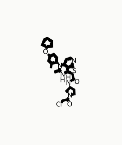 C=c1[nH]c2c(C(=O)N[C@@H]3CCN(C(=O)CCl)C3)sc3nccc(c32)n1-c1ccc(Oc2ccccc2)cc1C